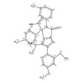 COc1ncc(-c2nc3c(n2C(C)C)C2(C(=O)Nc4cc(C)ccc42)N(c2cccc(C)c2)C3=O)c(OC)n1